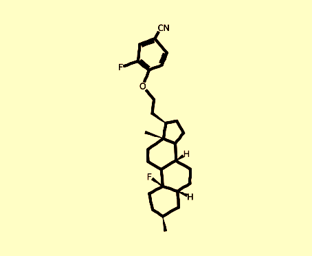 C[C@H]1CC[C@]2(F)C3CC[C@@]4(C)C(CC[C@@H]4CCOc4ccc(C#N)cc4F)[C@@H]3CC[C@@H]2C1